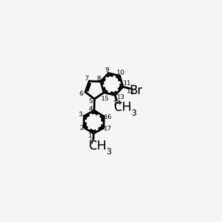 Cc1ccc(C2C=Cc3ccc(Br)c(C)c32)cc1